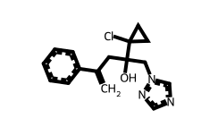 C=C(CC(O)(Cn1cncn1)C1(Cl)CC1)c1ccccc1